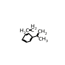 C=C.C=C(C)c1ccccc1